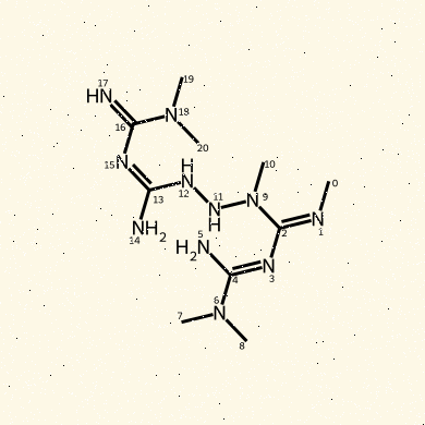 C/N=C(/N=C(\N)N(C)C)N(C)NN/C(N)=N\C(=N)N(C)C